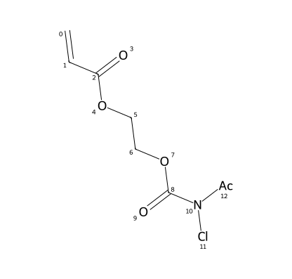 C=CC(=O)OCCOC(=O)N(Cl)C(C)=O